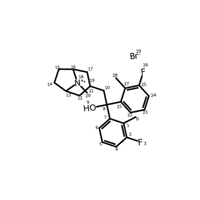 Cc1c(F)cccc1C(O)(CC1CC2CCC(C1)[N+]2(C)C)c1cccc(F)c1C.[Br-]